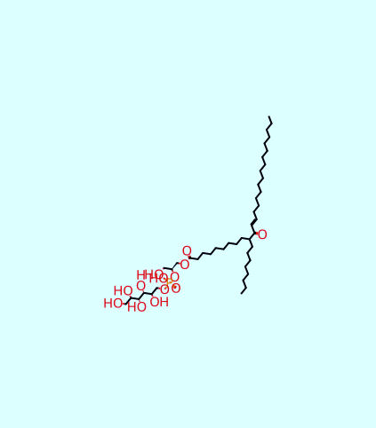 CCCCCCCCCCCCCCCC=CC(=O)C(CCCCCCCC)CCCCCCCCC(=O)OC[C@H](CO)OP(=O)(O)OC[C@@H](O)[C@@H](O)[C@H](O)[C@H](O)CO